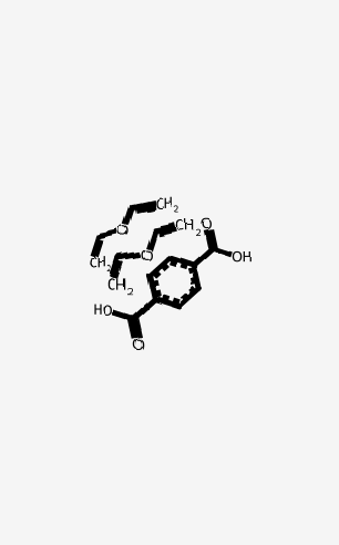 C=COC=C.C=COC=C.O=C(O)c1ccc(C(=O)O)cc1